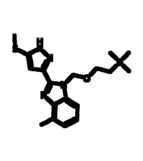 CSc1cc(-c2nc3c(C)cccc3n2COCC[Si](C)(C)C)n[nH]1